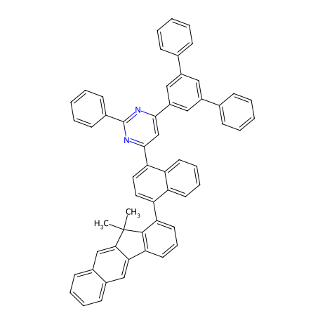 CC1(C)c2cc3ccccc3cc2-c2cccc(-c3ccc(-c4cc(-c5cc(-c6ccccc6)cc(-c6ccccc6)c5)nc(-c5ccccc5)n4)c4ccccc34)c21